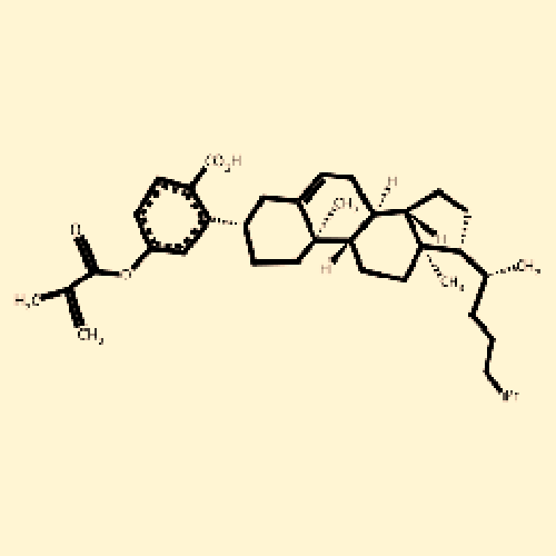 C=C(C)C(=O)Oc1ccc(C(=O)O)c([C@H]2CC[C@@]3(C)C(=CC[C@H]4[C@@H]5CC[C@H]([C@H](C)CCCC(C)C)[C@@]5(C)CC[C@@H]43)C2)c1